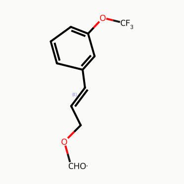 O=[C]OC/C=C/c1cccc(OC(F)(F)F)c1